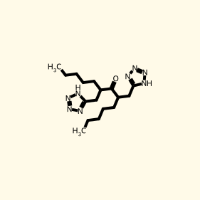 CCCCCC(Cc1nnn[nH]1)C(=O)C(CCCCC)Cc1nnn[nH]1